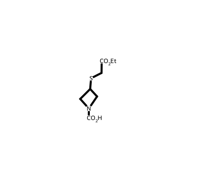 CCOC(=O)CSC1CN(C(=O)O)C1